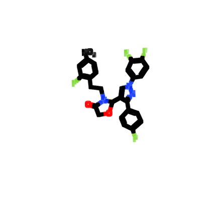 O=C1COC(c2cn(-c3ccc(F)c(F)c3)nc2-c2ccc(F)cc2)N1CCc1ccc([N+](=O)[O-])cc1F